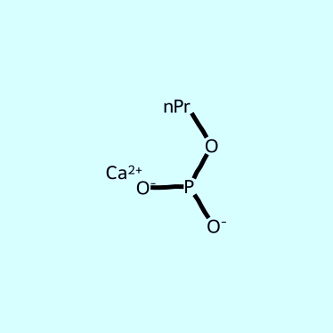 CCCOP([O-])[O-].[Ca+2]